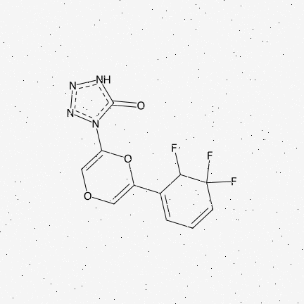 O=c1[nH]nnn1C1=COC=C(C2=CC=CC(F)(F)C2F)O1